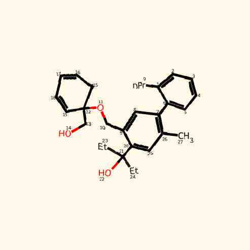 CCCc1ccccc1-c1cc(COC2(CO)[CH]C=CC=C2)c(C(O)(CC)CC)cc1C